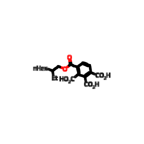 CCCCCCC(CC)COC(=O)c1ccc(C(=O)O)c(C(=O)O)c1C(=O)O